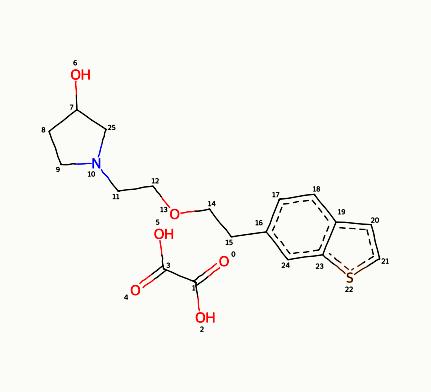 O=C(O)C(=O)O.OC1CCN(CCOCCc2ccc3ccsc3c2)C1